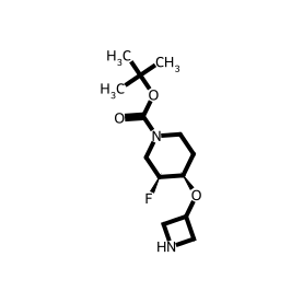 CC(C)(C)OC(=O)N1CC[C@@H](OC2CNC2)[C@@H](F)C1